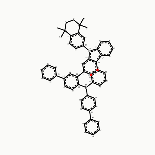 CC1(C)CCC(C)(C)c2cc(-n3c4ccccc4c4ccc(-c5cc(-c6ccccc6)ccc5N(c5ccccc5)c5ccc(-c6ccccc6)cc5)cc43)ccc21